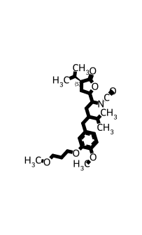 COCCCOc1cc(CC(CC(N=C=O)C2C[C@@H](C(C)C)C(=O)O2)C(C)C)ccc1OC